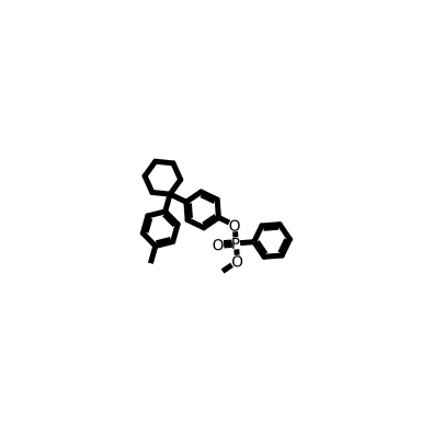 COP(=O)(Oc1ccc(C2(c3ccc(C)cc3)CCCCC2)cc1)c1ccccc1